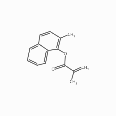 C=C(C)C(=O)Oc1c(C)ccc2ccccc12